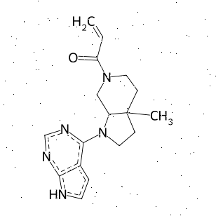 C=CC(=O)N1CCC2(C)CCN(c3ncnc4[nH]ccc34)C2C1